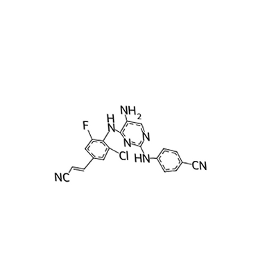 N#C/C=C/c1cc(F)c(Nc2nc(Nc3ccc(C#N)cc3)ncc2N)c(Cl)c1